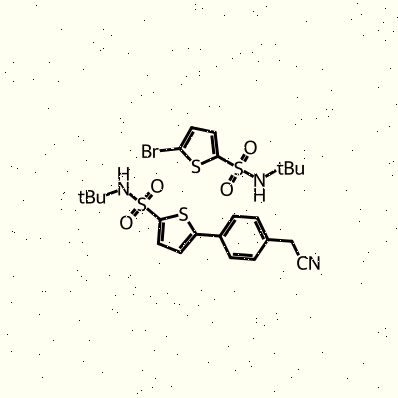 CC(C)(C)NS(=O)(=O)c1ccc(-c2ccc(CC#N)cc2)s1.CC(C)(C)NS(=O)(=O)c1ccc(Br)s1